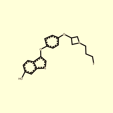 Oc1ccc2c(Oc3ccc(OC4CN(CCCF)C4)cc3)[c]sc2c1